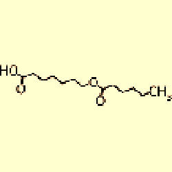 CCCCCC(=O)OCCCCCCC(=O)O